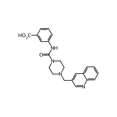 O=C(O)c1cccc(NC(=O)N2CCN(Cc3cnc4ccccc4c3)CC2)c1